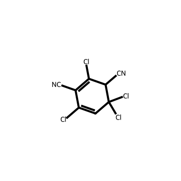 N#CC1=C(Cl)C(C#N)C(Cl)(Cl)C=C1Cl